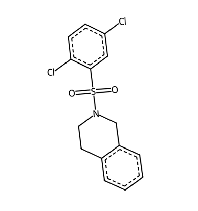 O=S(=O)(c1cc(Cl)ccc1Cl)N1CCc2ccccc2C1